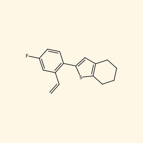 C=Cc1cc(F)ccc1-c1cc2c(s1)CCCC2